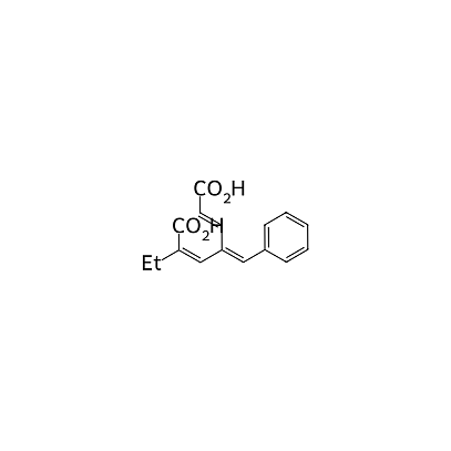 CCC(=CC(C=CC(=O)O)=Cc1ccccc1)C(=O)O